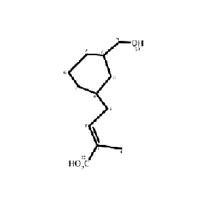 CC(=CCC1CCCC(CO)C1)C(=O)O